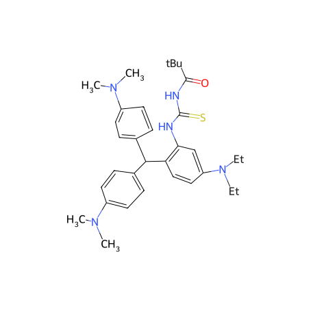 CCN(CC)c1ccc(C(c2ccc(N(C)C)cc2)c2ccc(N(C)C)cc2)c(NC(=S)NC(=O)C(C)(C)C)c1